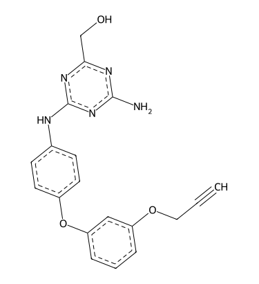 C#CCOc1cccc(Oc2ccc(Nc3nc(N)nc(CO)n3)cc2)c1